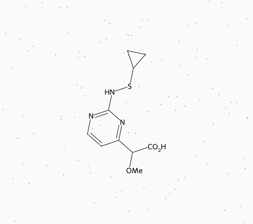 COC(C(=O)O)c1ccnc(NSC2CC2)n1